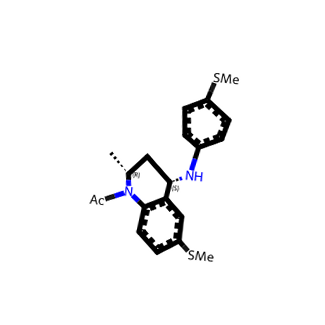 CSc1ccc(N[C@H]2C[C@@H](C)N(C(C)=O)c3ccc(SC)cc32)cc1